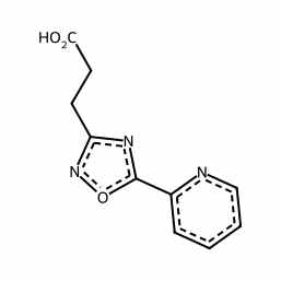 O=C(O)CCc1noc(-c2ccccn2)n1